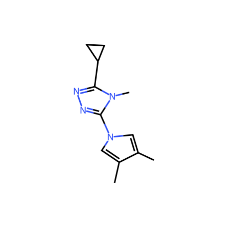 Cc1cn(-c2nnc(C3CC3)n2C)cc1C